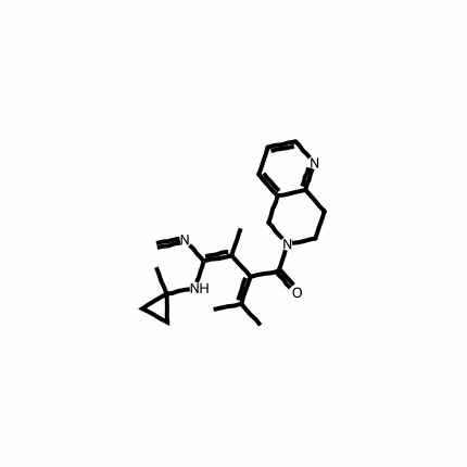 C=N/C(NC1(C)CC1)=C(\C)C(C(=O)N1CCc2ncccc2C1)=C(C)C